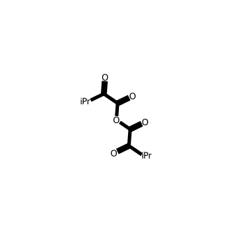 CC(C)C(=O)C(=O)OC(=O)C(=O)C(C)C